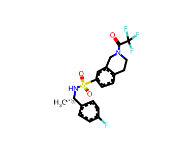 C[C@H](NS(=O)(=O)c1ccc2c(c1)CN(C(=O)C(F)(F)F)CC2)c1ccc(F)cc1